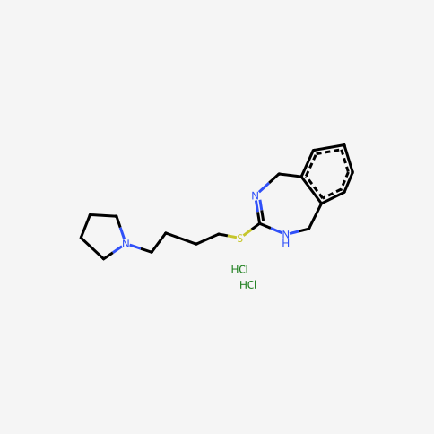 Cl.Cl.c1ccc2c(c1)CN=C(SCCCCN1CCCC1)NC2